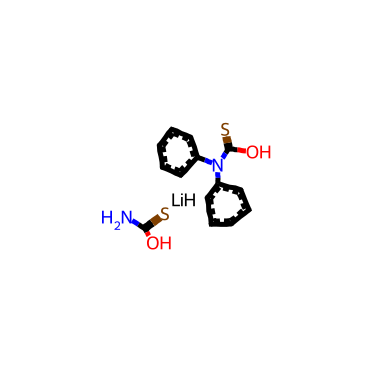 NC(O)=S.OC(=S)N(c1ccccc1)c1ccccc1.[LiH]